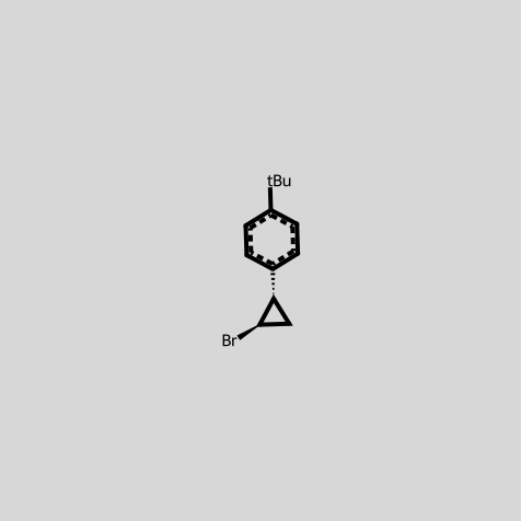 CC(C)(C)c1ccc([C@@H]2C[C@H]2Br)cc1